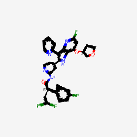 O=C(Nc1cc(-c2[nH]c3c(O[C@H]4CCOC4)cc(F)nc3c2-c2ccccn2)ccn1)[C@H](CC(F)F)c1ccc(F)cc1